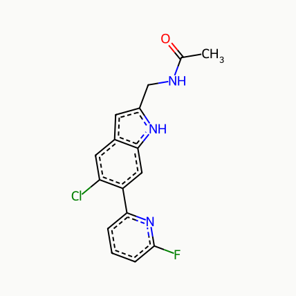 CC(=O)NCc1cc2cc(Cl)c(-c3cccc(F)n3)cc2[nH]1